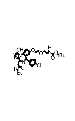 CCNC(=O)C[C@@H]1N=C(c2ccc(Cl)cc2)c2cc(OCCOCCNC(=O)OC(C)(C)C)ccc2-n2c(C)nnc21